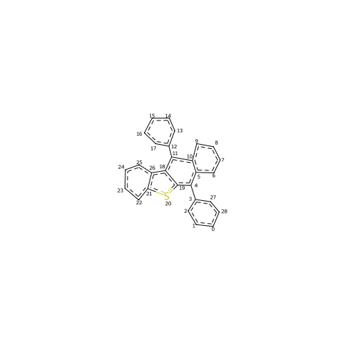 c1ccc(-c2c3ccccc3c(-c3ccccc3)c3c2sc2ccccc23)cc1